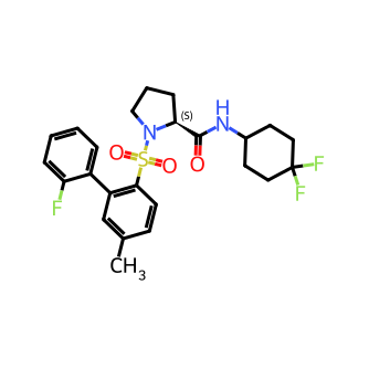 Cc1ccc(S(=O)(=O)N2CCC[C@H]2C(=O)NC2CCC(F)(F)CC2)c(-c2ccccc2F)c1